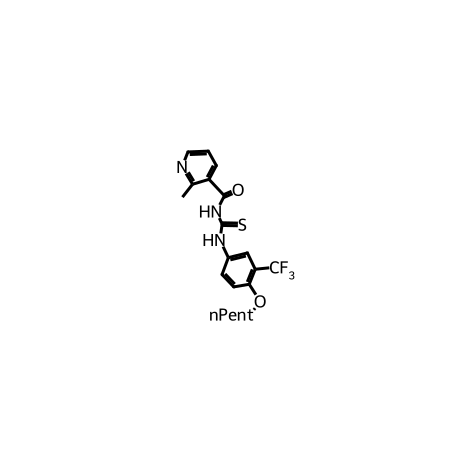 CCCCCOc1ccc(NC(=S)NC(=O)c2cccnc2C)cc1C(F)(F)F